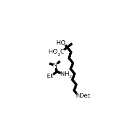 CCC(N)N(C)C.CCCCCCCCCCCCCCCCCCC(C)(O)C(=O)O